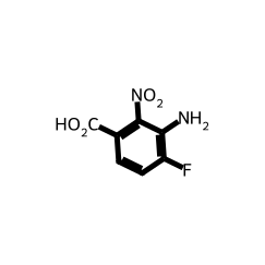 Nc1c(F)ccc(C(=O)O)c1[N+](=O)[O-]